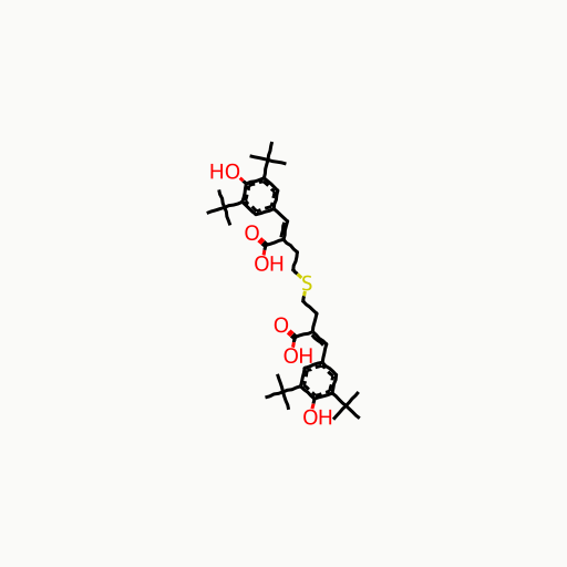 CC(C)(C)c1cc(C=C(CCSCCC(=Cc2cc(C(C)(C)C)c(O)c(C(C)(C)C)c2)C(=O)O)C(=O)O)cc(C(C)(C)C)c1O